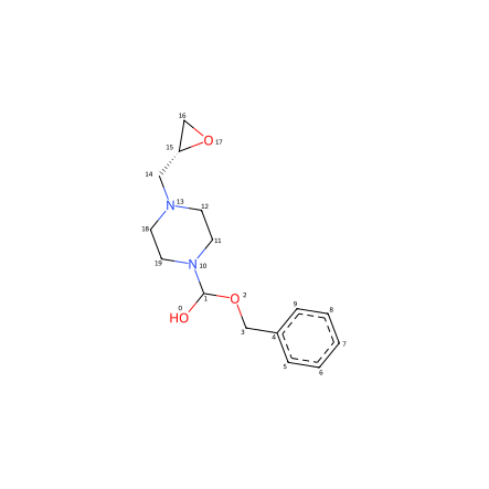 OC(OCc1ccccc1)N1CCN(C[C@@H]2CO2)CC1